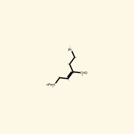 CCCCCCC=C(C=O)CCC(C)C